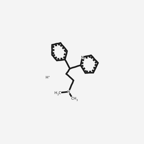 CN(C)CCC(c1ccccc1)c1ccccn1.[H+]